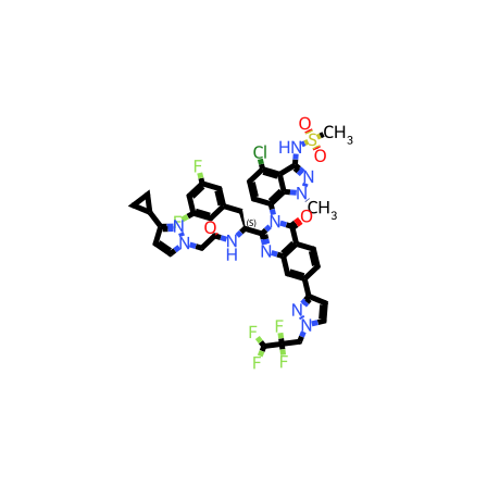 Cn1nc(NS(C)(=O)=O)c2c(Cl)ccc(-n3c([C@H](Cc4cc(F)cc(F)c4)NC(=O)Cn4ccc(C5CC5)n4)nc4cc(-c5ccn(CC(F)(F)C(F)F)n5)ccc4c3=O)c21